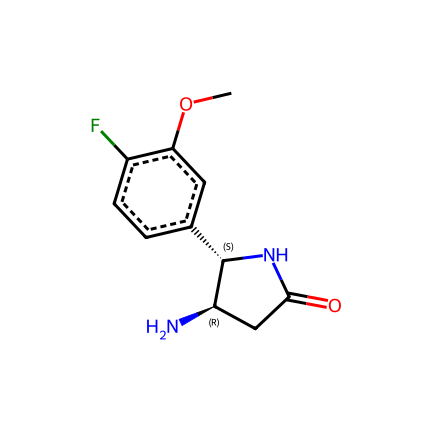 COc1cc([C@@H]2NC(=O)C[C@H]2N)ccc1F